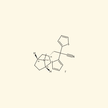 C[N+]1(C)[C@@H]2CC[C@H]1C[C@@H](CC(C#N)(c1cccs1)c1cccs1)C2.[I-]